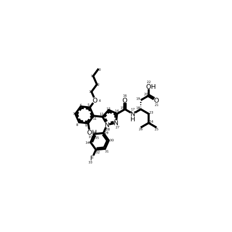 CCCCOc1cccc(O)c1-c1cc(C(=O)N[C@H](CC(=O)O)CC(C)C)nn1C1=C=C=C(F)C=C1